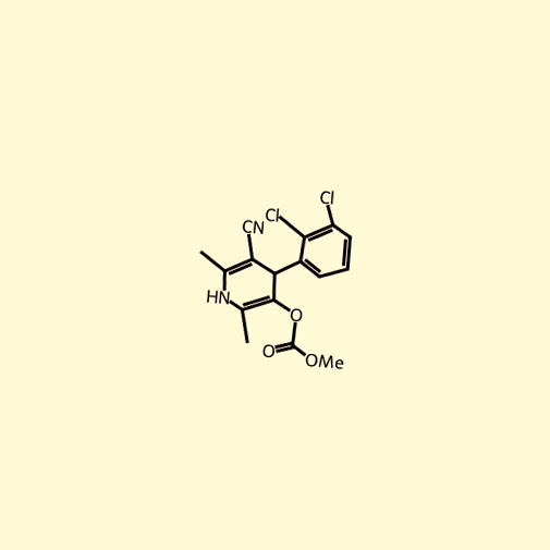 COC(=O)OC1=C(C)NC(C)=C(C#N)C1c1cccc(Cl)c1Cl